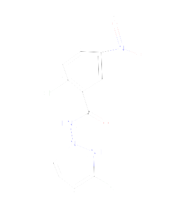 O=C(NN1C=CC=C(Cl)N1)c1cc([N+](=O)[O-])ccc1Cl